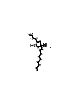 CCCCCCCCCC(N)(CO)CCCCCC